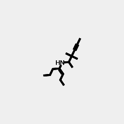 CC#CC(C)(C)C(C)NC(=CCC)CCC